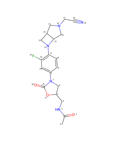 CC(=O)NCC1CN(c2ccc(N3CC4CN(CC#N)CC43)c(F)c2)C(=O)O1